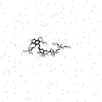 CCOP(=O)(CCNS(=O)(=O)NC(=O)OCC(CC(C)=CCc1c(OC)c(C)c2c(c1OCC[Si](C)(C)C)C(=O)OC2)[Si](C)(C)C)OCC